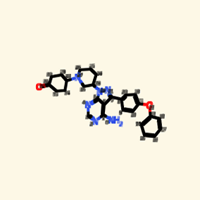 Nc1ncnc2c1c(-c1ccc(Oc3ccccc3)cc1)nn2C1CCCN(C2CCC(=O)CC2)C1